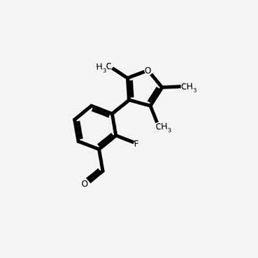 Cc1oc(C)c(-c2cccc(C=O)c2F)c1C